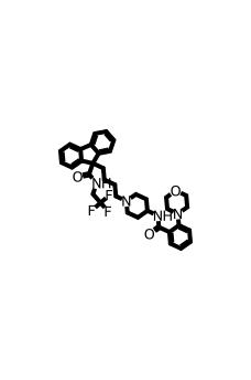 O=C(NC1CCN(CCCCC2(C(=O)NCC(F)(F)F)c3ccccc3-c3ccccc32)CC1)c1ccccc1N1CCOCC1